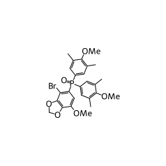 COc1cc(P(=O)(c2cc(C)c(OC)c(C)c2)c2cc(C)c(OC)c(C)c2)c(Br)c2c1OCO2